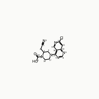 N#CCC1CN(c2ncnc3cc(Cl)ncc23)CCN1C(=O)O